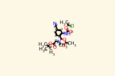 CC(=O)OC(c1ccc(C#N)cc1NC(=O)OC(C)Cl)N(C)CC(=O)OC(C)(C)C